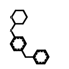 c1ccc(Cc2ccc(SC3CCCCO3)cc2)cc1